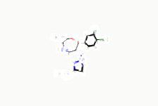 Cl.O=C(O)c1ccn(C[C@@H]2CNCCO[C@H]2c2ccc(Cl)c(Cl)c2)n1